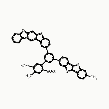 CCCCCCCCc1cc(-c2cc(-c3ccc4c(c3)sc3c5ccc(C)cc5sc43)cc(-c3ccc4sc5cc6oc7ccccc7c6cc5c4c3)c2)c(CCCCCCCC)cc1C